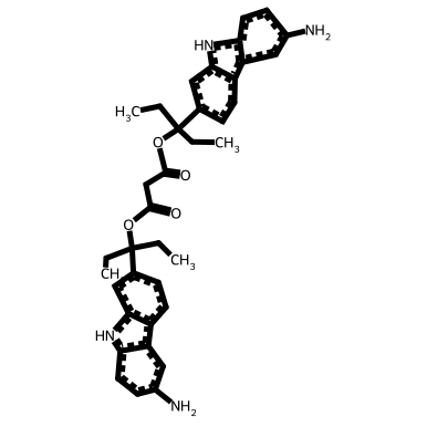 CCC(CC)(OC(=O)CC(=O)OC(CC)(CC)c1ccc2c(c1)[nH]c1ccc(N)cc12)c1ccc2c(c1)[nH]c1ccc(N)cc12